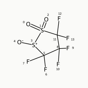 O=S1(=O)[S+]([O-])C(F)(F)C(F)(F)C1(F)F